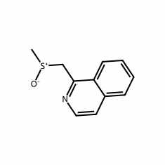 C[S+]([O-])Cc1nccc2ccccc12